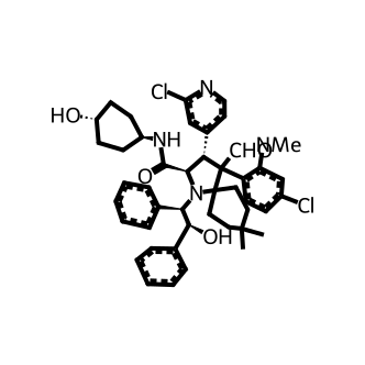 CNc1cc(Cl)ccc1C1(C=O)[C@@H](c2ccnc(Cl)c2)[C@H](C(=O)N[C@H]2CC[C@H](O)CC2)N([C@H](c2ccccc2)[C@@H](O)c2ccccc2)C12CCC(C)(C)CC2